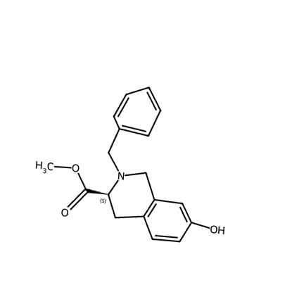 COC(=O)[C@@H]1Cc2ccc(O)cc2CN1Cc1ccccc1